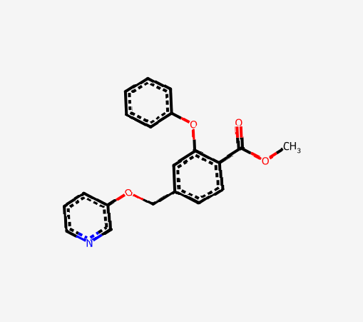 COC(=O)c1ccc(COc2cccnc2)cc1Oc1ccccc1